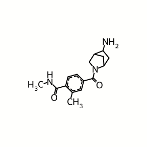 CNC(=O)c1ccc(C(=O)N2CC3CC2CC3N)cc1C